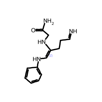 N=CCC/C(=C/Nc1ccccc1)NCC(N)=O